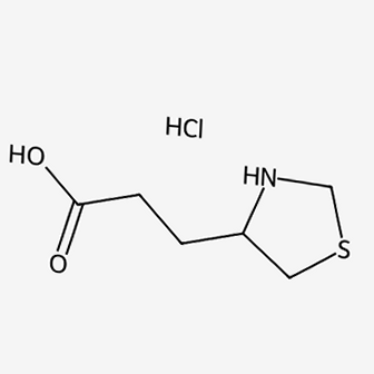 Cl.O=C(O)CCC1CSCN1